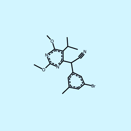 COc1nc(OC)c(C(C)C)c(C(C#N)c2cc(C)cc(Br)c2)n1